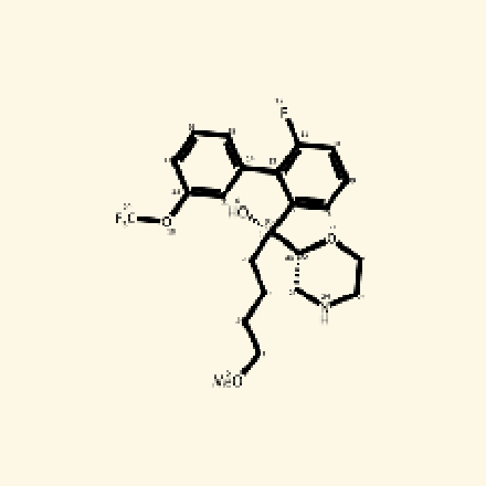 COCCCC[C@@](O)(c1cccc(F)c1-c1cccc(OC(F)(F)F)c1)[C@H]1CNCCO1